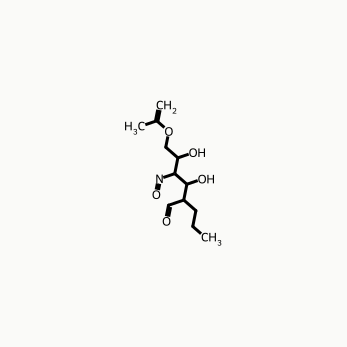 C=C(C)OCC(O)C(N=O)C(O)C(C=O)CCC